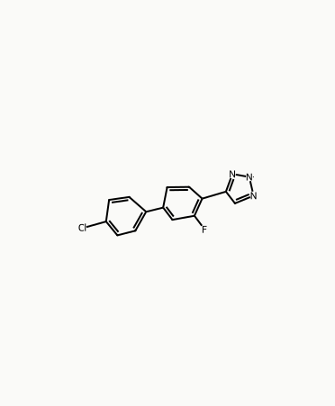 Fc1cc(-c2ccc(Cl)cc2)ccc1C1=N[N]N=C1